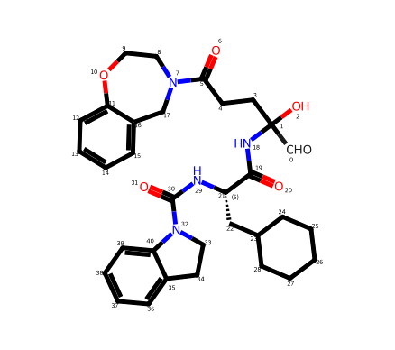 O=CC(O)(CCC(=O)N1CCOc2ccccc2C1)NC(=O)[C@H](CC1CCCCC1)NC(=O)N1CCc2ccccc21